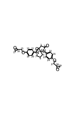 O=C1CCC2(CCC[N+]2([O-])c2ccc(OCC3CO3)cc2)N1c1ccc(OCC2CO2)cc1